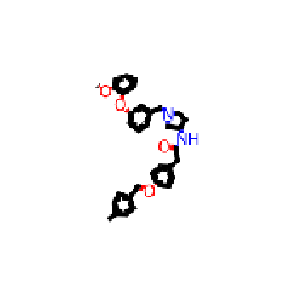 COc1ccccc1Oc1cccc(CN2CCC(NC(=O)Cc3ccc(OCc4ccc(C)cc4)cc3)C2)c1